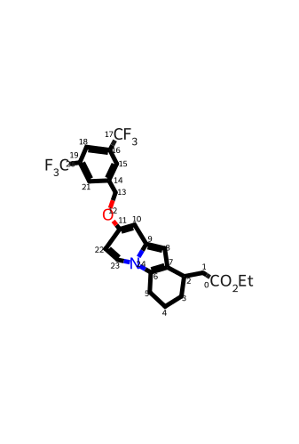 CCOC(=O)CC1CCCc2c1cc1cc(OCc3cc(C(F)(F)F)cc(C(F)(F)F)c3)ccn21